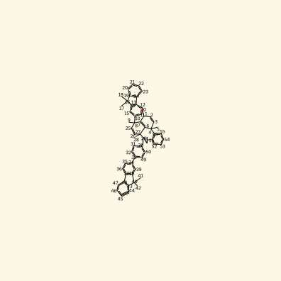 CC1C=CC2(C)C3=C1C(C)(c1ccc4c(c1)C(C)(C)c1ccccc1-4)C=CC3(C)N(c1ccc(-c3ccc4c(c3)C(C)(C)c3c#cccc3-4)cc1)c1ccccc12